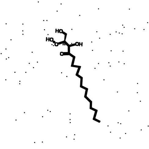 CCCCCCCCCCCCCC(=O)C(O)[C@H](CO)OO